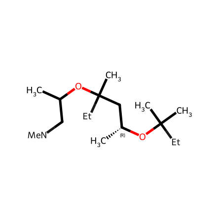 CCC(C)(C)O[C@H](C)CC(C)(CC)OC(C)CNC